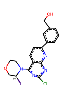 OCc1cccc(-c2ccc3c(N4CCOC[C@@H]4I)nc(Cl)nc3n2)c1